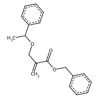 C=C(COC(C)c1ccccc1)C(=O)OCc1ccccc1